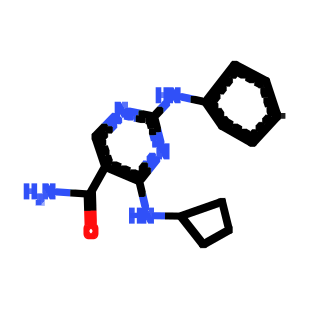 NC(=O)c1cnc(Nc2cc[c]cc2)nc1NC1CCC1